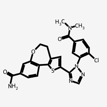 CN(C)C(=O)c1ccc(Cl)c(-n2ncnc2-c2cc3c(s2)-c2ccc(C(N)=O)cc2OCC3)c1